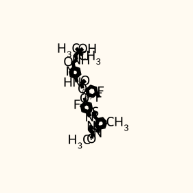 COc1cnc2c(-c3nc4cc(F)c(O[C@H]5CC(F)(F)CC[C@H]5OC(=O)Nc5ccc(C(=O)NCC(C)(C)O)nc5)cc4s3)cc(C)cc2n1